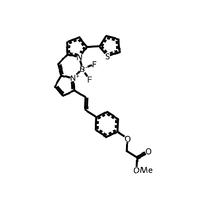 COC(=O)COc1ccc(/C=C/C2=[N+]3C(=Cc4ccc(-c5cccs5)n4[B-]3(F)F)C=C2)cc1